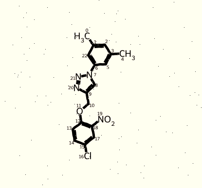 Cc1cc(C)cc(-n2cc(COc3ccc(Cl)cc3[N+](=O)[O-])nn2)c1